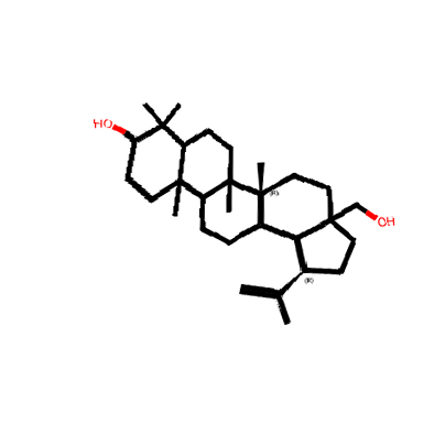 C=C(C)[C@@H]1CCC2(CO)CC[C@]3(C)C(CCC4C5(C)CCC(O)C(C)(C)C5CCC43C)C12